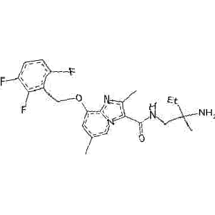 CCC(C)(N)CNC(=O)c1c(C)nc2c(OCc3c(F)ccc(F)c3F)cc(C)cn12